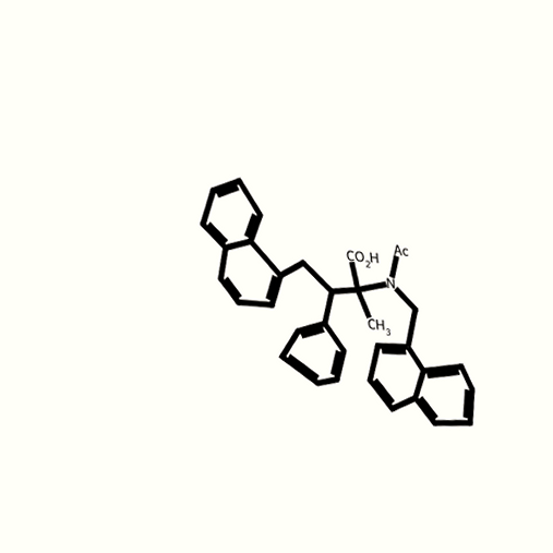 CC(=O)N(Cc1cccc2ccccc12)C(C)(C(=O)O)C(Cc1cccc2ccccc12)c1ccccc1